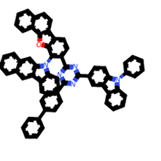 c1ccc(-c2ccc(-c3nc(-c4ccc5c(c4)c4ccccc4n5-c4ccccc4)nc(-c4ccc5c(oc6c7ccccc7ccc56)c4-n4c5ccccc5c5cc6ccccc6cc54)n3)cc2)cc1